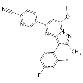 Cc1nn2c(OI)cc(-c3ccc(C#N)nc3)nc2c1-c1ccc(F)cc1F